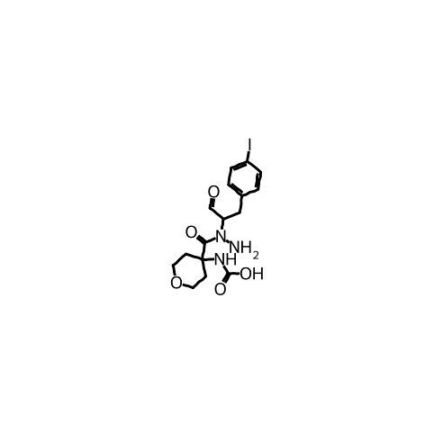 NN(C(=O)C1(NC(=O)O)CCOCC1)C(C=O)Cc1ccc(I)cc1